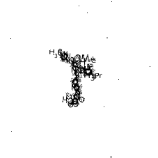 CC[C@@]1(O)C(=O)OCc2c1cc1n(c2=O)Cc2cc3cc(C(C)Cc4nc(Nc5ccc(C(C)C)cc5F)c5cc(OC)c(OCC6CCN(C)CC6)cc5n4)ccc3nc2-1